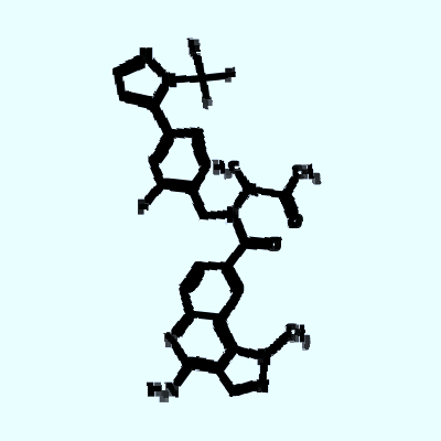 CC(=O)N(C)N(Cc1ccc(-c2ccnn2C(F)(F)F)cc1F)C(=O)c1ccc2nc(N)c3cnn(C)c3c2c1